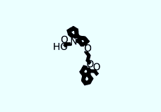 CC(=O)c1c(OCCCOc2ccc3c4ccccc4n(CC(=O)O)c3c2)ccc2ccccc12